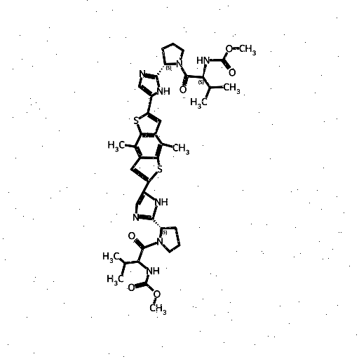 COC(=O)NC(C(=O)N1CCC[C@H]1c1ncc(-c2cc3c(C)c4sc(-c5cnc([C@@H]6CCCN6C(=O)[C@@H](NC(=O)OC)C(C)C)[nH]5)cc4c(C)c3s2)[nH]1)C(C)C